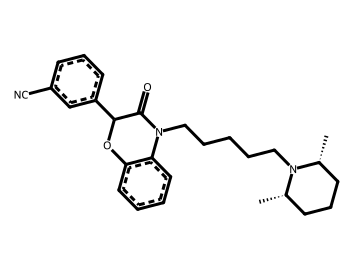 C[C@@H]1CCC[C@H](C)N1CCCCCN1C(=O)C(c2cccc(C#N)c2)Oc2ccccc21